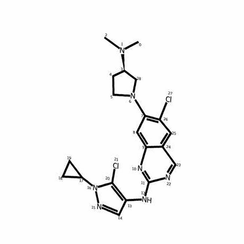 CN(C)[C@@H]1CCN(c2cc3nc(Nc4cnn(C5CC5)c4Cl)ncc3cc2Cl)C1